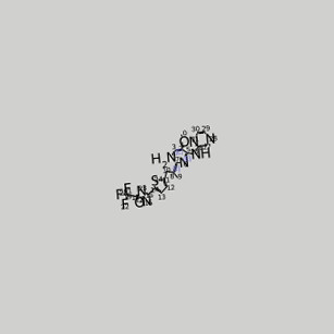 COC(=C/N)/C(=N\C=C(/C)Cc1ccc(-c2noc(C(F)(F)F)n2)s1)Nc1cnccn1